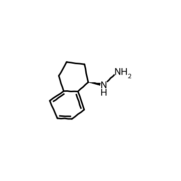 NN[C@@H]1CCCc2ccccc21